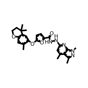 Cc1cc2c(cc1Oc1ccc(C(=O)NNc3cc(C)c4c(C)nn(C)c4n3)o1)C(C)(C)CCO2